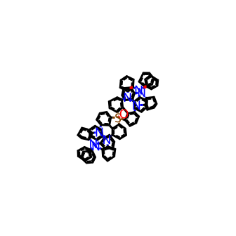 O=S12(c3cccc(N4c5ccccc5N(c5ccccc5)c5ccccc54)c3-c3c(N4c5ccccc5N(c5ccccc5)c5ccccc54)cccc31)c1cccc(N3c4ccccc4N(c4ccccc4)c4ccccc43)c1-c1c(N3c4ccccc4N(c4ccccc4)c4ccccc43)cccc12